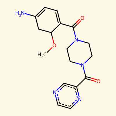 COC1CC(N)=CC=C1C(=O)N1CCN(C(=O)c2cnccn2)CC1